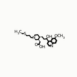 CCSCCCN1CC[C@@H](CCC(O)c2ccnc3ccc(OC)cc23)[C@@H](CC(=O)O)C1